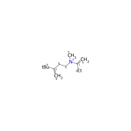 C=C(CC)N(C)CCC(=C)C(C)(C)C